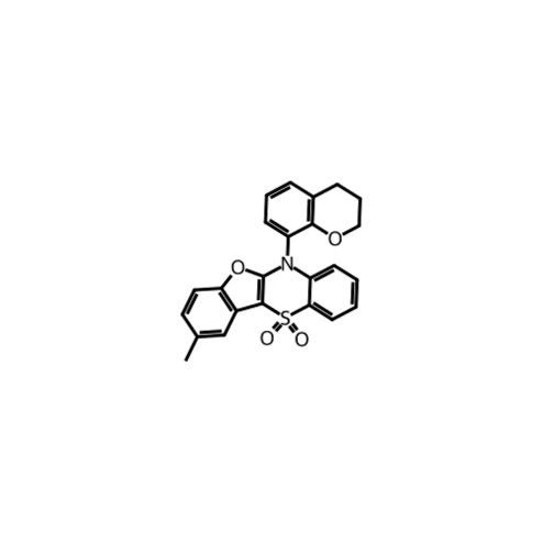 Cc1ccc2oc3c(c2c1)S(=O)(=O)c1ccccc1N3c1cccc2c1OCCC2